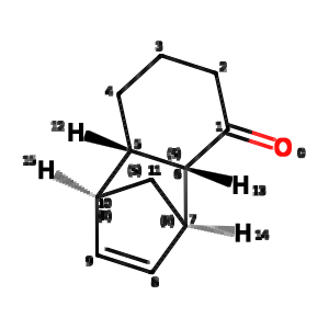 O=C1CCC[C@@H]2[C@H]1[C@H]1C=C[C@@H]2C1